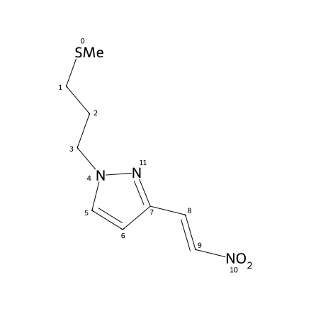 CSCCCn1ccc(/C=C/[N+](=O)[O-])n1